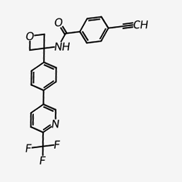 C#Cc1ccc(C(=O)NC2(c3ccc(-c4ccc(C(F)(F)F)nc4)cc3)COC2)cc1